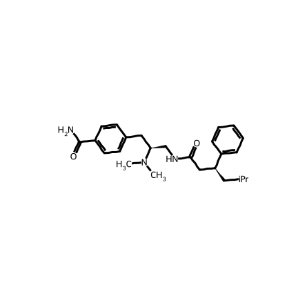 CC(C)C[C@@H](CC(=O)NC[C@H](Cc1ccc(C(N)=O)cc1)N(C)C)c1ccccc1